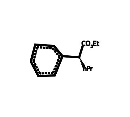 CCC[C@@H](C(=O)OCC)c1ccccc1